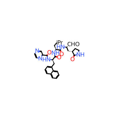 CC(C)C[C@H](NC(=O)[C@@H](Cc1cccc2ccccc12)NC(=O)c1cnccn1)C(=O)N[C@H](C=O)C[C@@H]1CCNC1=O